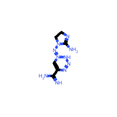 N=C(N)C1=C[N+](=NN2CCN=C2N)NN=N1